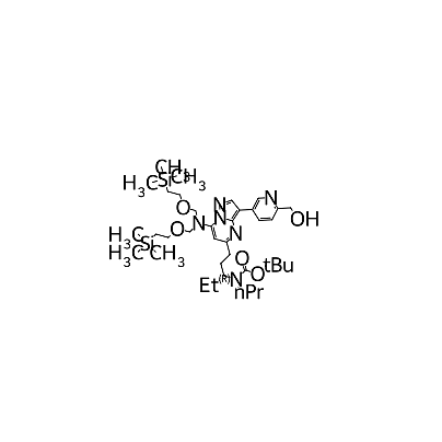 CCCN(C(=O)OC(C)(C)C)[C@H](CC)CCc1cc(N(COCC[Si](C)(C)C)COCC[Si](C)(C)C)n2ncc(-c3ccc(CO)nc3)c2n1